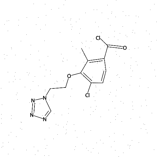 Cc1c(C(=O)Cl)ccc(Cl)c1OCCn1cnnn1